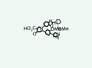 COC[C@H]1CCCN1c1nc2ccc(-n3cc(C(=O)O)c(=O)cc3-c3ccc(-c4cnn(C)c4)c(OC)c3)cc2o1